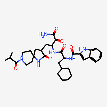 CC(C)C(=O)N1CCC2(CC1)CC(CC(NC(=O)[C@H](CC1CCCCC1)NC(=O)c1cc3ccccc3[nH]1)C(=O)C(N)=O)C(=O)N2